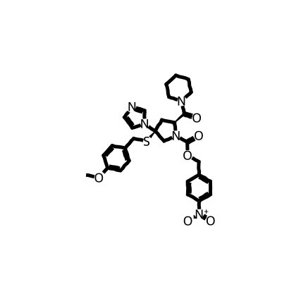 COc1ccc(CS[C@@]2(n3ccnc3)C[C@@H](C(=O)N3CCCCC3)N(C(=O)OCc3ccc([N+](=O)[O-])cc3)C2)cc1